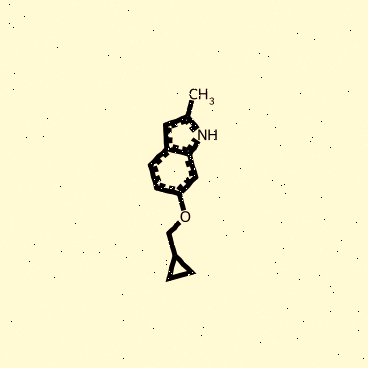 Cc1cc2ccc(OCC3CC3)cc2[nH]1